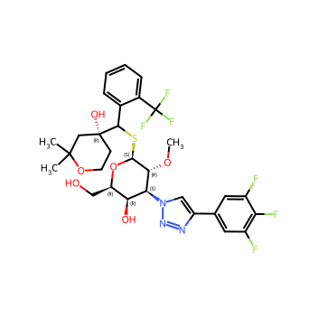 CO[C@@H]1[C@@H](n2cc(-c3cc(F)c(F)c(F)c3)nn2)[C@@H](O)[C@@H](CO)O[C@H]1SC(c1ccccc1C(F)(F)F)[C@@]1(O)CCOC(C)(C)C1